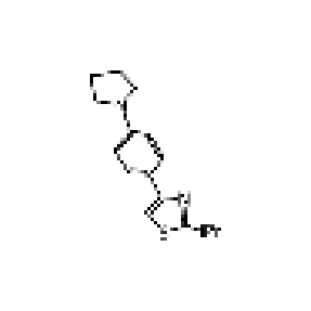 CC(C)c1nc(-c2ccc(N3CCCC3)cc2)cs1